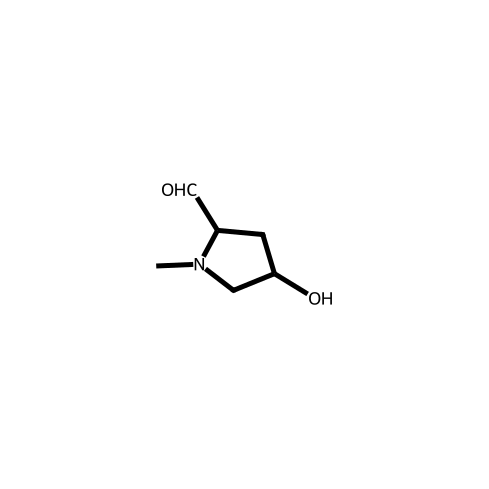 CN1CC(O)CC1C=O